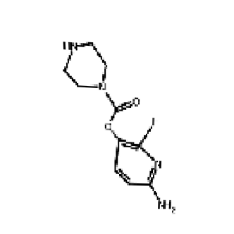 Nc1ccc(OC(=O)N2CCNCC2)c(F)n1